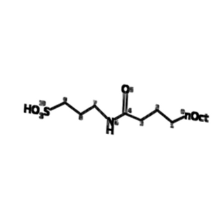 CCCCCCCCCCCC(=O)NCCCS(=O)(=O)O